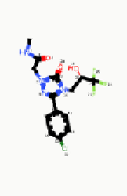 CNC(=O)Cn1nc(-c2ccc(Cl)cc2)n(C[C@H](O)C(F)(F)F)c1=O